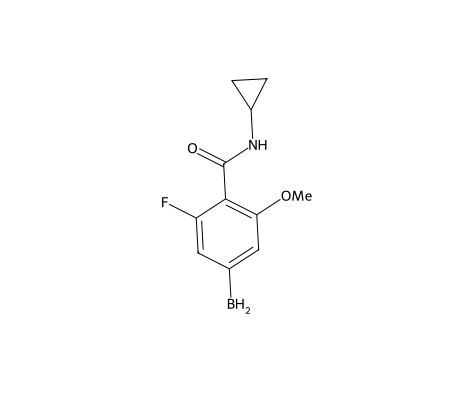 Bc1cc(F)c(C(=O)NC2CC2)c(OC)c1